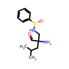 CC(C)CC(N)(C=O)CN[S@+]([O-])c1ccccc1